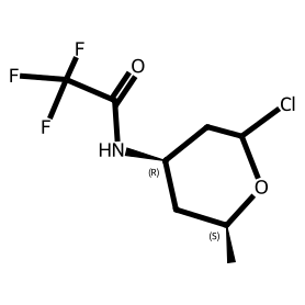 C[C@H]1C[C@@H](NC(=O)C(F)(F)F)CC(Cl)O1